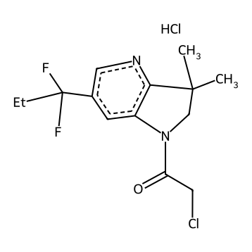 CCC(F)(F)c1cnc2c(c1)N(C(=O)CCl)CC2(C)C.Cl